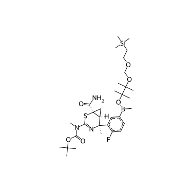 CB(OC(C)(C)C(C)(C)OCOCC[Si](C)(C)C)c1ccc(F)c([C@@]2(C)N=C(N(C)C(=O)OC(C)(C)C)S[C@@]3(C(N)=O)C[C@H]32)c1